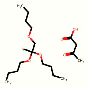 CC(=O)CC(=O)O.CCCCOC[C]([Ti])(OCCCC)OCCCC